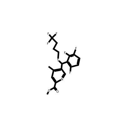 COC(=O)c1cc(C)c(C(SCCCC(F)(F)F)c2c(F)ccc(F)c2F)cn1